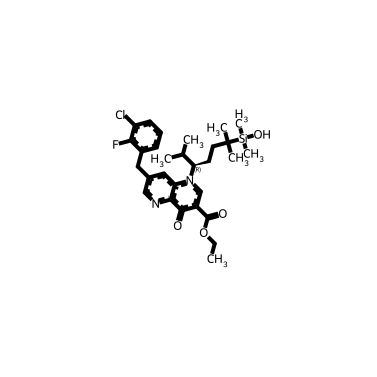 CCOC(=O)c1cn([C@H](CCC(C)(C)[Si](C)(C)O)C(C)C)c2cc(Cc3cccc(Cl)c3F)cnc2c1=O